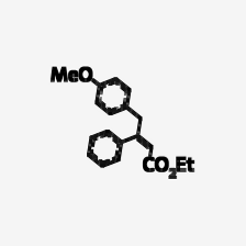 CCOC(=O)C=C(Cc1ccc(OC)cc1)c1ccccc1